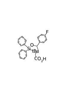 CC(C)(C)[Si](OC(CCC(=O)O)c1ccc(F)cc1)(c1ccccc1)c1ccccc1